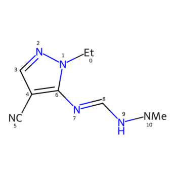 CCn1ncc(C#N)c1/N=C/NNC